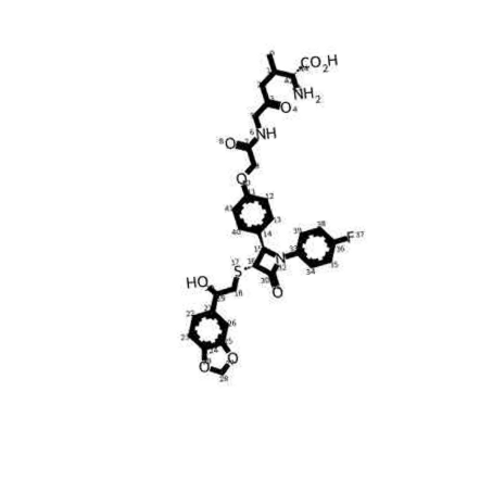 CC(CC(=O)CNC(=O)COc1ccc([C@@H]2[C@@H](SCC(O)c3ccc4c(c3)OCO4)C(=O)N2c2ccc(F)cc2)cc1)[C@@H](N)C(=O)O